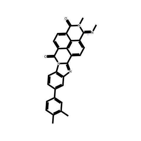 C/N=C1/c2ccc3c4c2c(ccc4c(=O)n2c4ccc(-c5ccc(C)c(C)c5)cc4nc32)C(=O)N1C